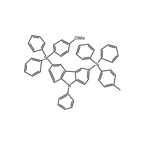 COc1ccc([Si](c2ccccc2)(c2ccccc2)c2ccc3c(c2)c2cc([Si](c4ccccc4)(c4ccccc4)c4ccc(C)cc4)ccc2n3-c2ccccc2)cc1